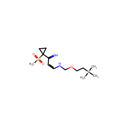 C[Si](C)(C)CCOCN/C=C\C(=N)C1(S(C)(=O)=O)CC1